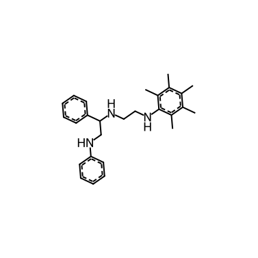 Cc1c(C)c(C)c(NCCNC(CNc2ccccc2)c2ccccc2)c(C)c1C